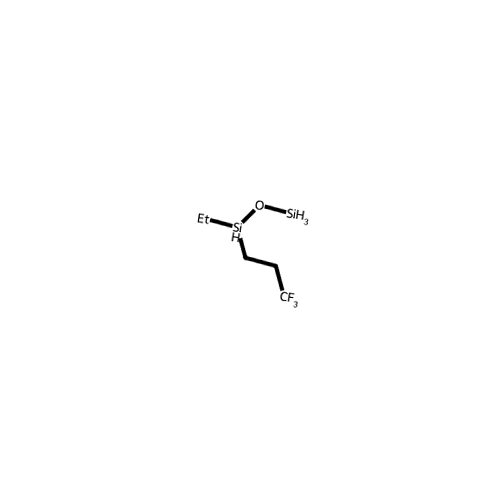 CC[SiH](CCC(F)(F)F)O[SiH3]